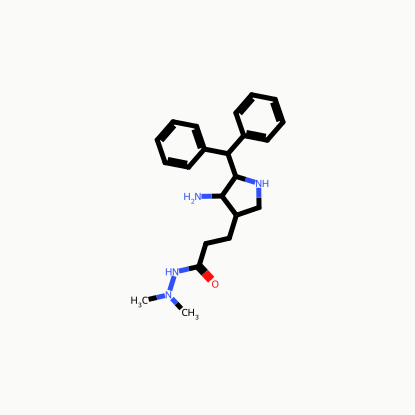 CN(C)NC(=O)CCC1CNC(C(c2ccccc2)c2ccccc2)C1N